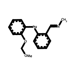 C/N=C/c1ccccc1Pc1ccccc1OCOC